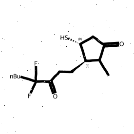 CCCCC(F)(F)C(=O)CC[C@@H]1C(C)C(=O)C[C@H]1S